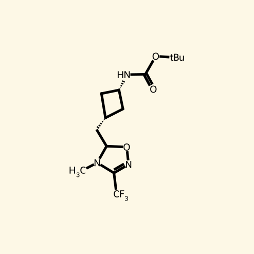 CN1C(C(F)(F)F)=NOC1C[C@H]1C[C@@H](NC(=O)OC(C)(C)C)C1